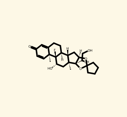 C[C@]12C=CC(=O)C=C1CC[C@H]1[C@@H]3C[C@H]4OC5(CCCC5)O[C@@]4(C(O)CO)[C@@]3(C)C[C@H](O)[C@@]12F